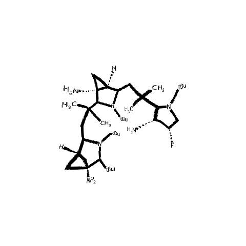 CC(C)(C)C1N(C(C)(C)C)C(CC(C)(C)C2N(C(C)(C)C)C(CC(C)(C)C3[C@@H](N)[C@@H](F)CN3C(C)(C)C)[C@@H]3C[C@]23N)[C@H]2C[C@@]12N